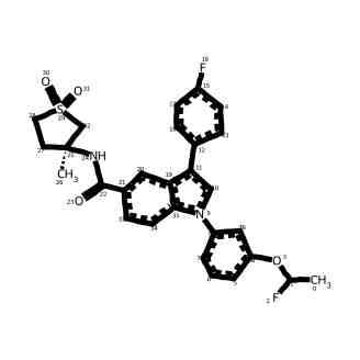 CC(F)Oc1cccc(-n2cc(-c3ccc(F)cc3)c3cc(C(=O)N[C@@]4(C)CCS(=O)(=O)C4)ccc32)c1